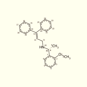 COc1ccccc1[C@@H](C)NCC=C(c1ccccc1)c1ccccc1